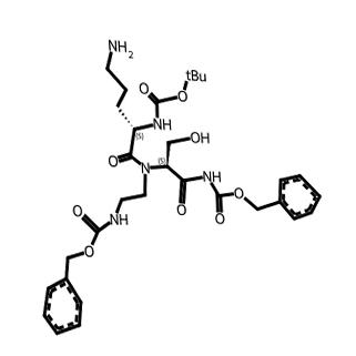 CC(C)(C)OC(=O)N[C@@H](CCCN)C(=O)N(CCNC(=O)OCc1ccccc1)[C@@H](CO)C(=O)NC(=O)OCc1ccccc1